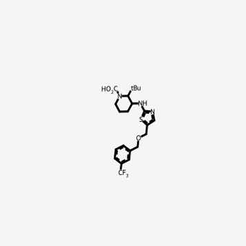 CC(C)(C)C1C(Nc2ncc(COCc3cccc(C(F)(F)F)c3)s2)CCCN1C(=O)O